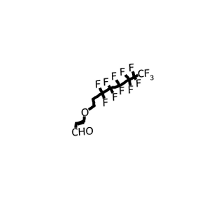 O=CC=COCCC(F)(F)C(F)(F)C(F)(F)C(F)(F)C(F)(F)C(F)(F)F